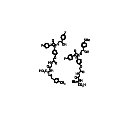 CSc1ccc(C(O)CS[C@H]2C(=O)N(c3ccc(F)cc3)[C@@H]2c2ccc(OCC(=O)NCC(=O)N[C@@H](C(=O)O)C(C)(C)C)cc2)cc1.Cc1ccc(CSC[C@@H](NC(=O)CNC(=O)COc2ccc([C@@H]3[C@@H](SCC(O)c4ccc(F)cc4)C(=O)N3c3ccc(F)cc3)cc2)C(=O)O)cc1